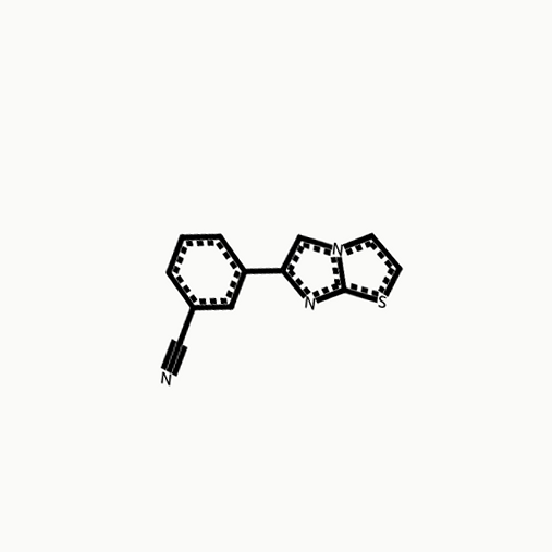 N#Cc1cccc(-c2cn3ccsc3n2)c1